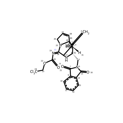 C=C1N[C@H]2[C@H](CN3C(=O)c4ccccc4C3=O)N/C(=N\C(=O)OCC(Cl)(Cl)Cl)N3CC=C[C@]23N1